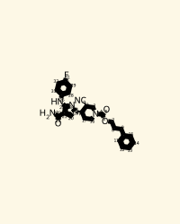 N#C[C@@H]1CN(C(=O)OCCCc2ccccc2)CC[C@H]1n1cc(C(N)=O)c(Nc2ccc(F)cc2)n1